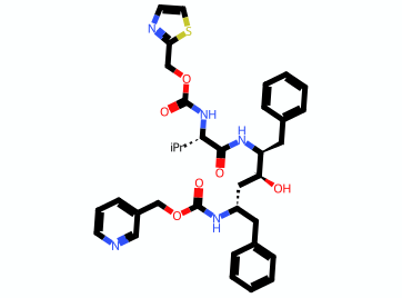 CC(C)[C@H](NC(=O)OCc1nccs1)C(=O)N[C@@H](Cc1ccccc1)[C@@H](O)C[C@H](Cc1ccccc1)NC(=O)OCc1cccnc1